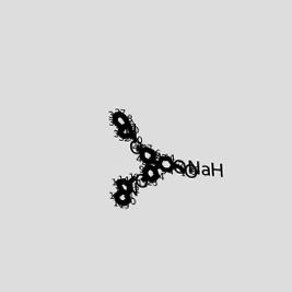 O=COC1CCC(c2ccc(OCc3ccc4ccccc4n3)cc2)(c2ccc(OCc3ccc4ccccc4n3)cc2)CC1.[NaH]